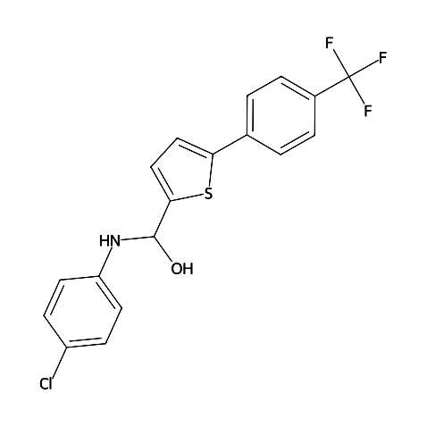 OC(Nc1ccc(Cl)cc1)c1ccc(-c2ccc(C(F)(F)F)cc2)s1